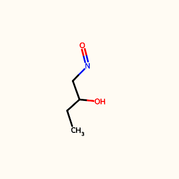 CCC(O)CN=O